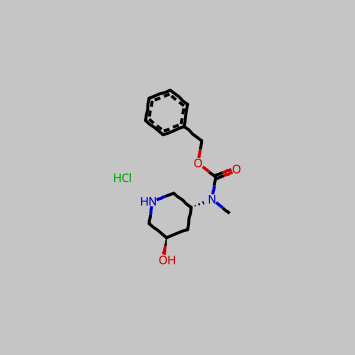 CN(C(=O)OCc1ccccc1)[C@H]1CNC[C@H](O)C1.Cl